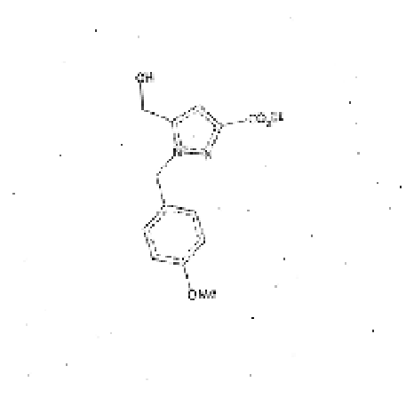 CCOC(=O)c1cc(CO)n(Cc2ccc(OC)cc2)n1